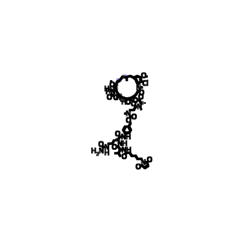 COc1cc2cc(c1Cl)N(C)C(=O)C[C@H](OC(=O)[C@H](C)N(C)C(=O)CCN(C)C(=O)OCc1ccc(NC(=O)[C@H](CCCNC(N)=O)NC(=O)[C@@H](NC(=O)CCCCCN3C(=O)C=CC3=O)C(C)C)cc1)[C@]1(C)O[C@H]1[C@H](C)[C@@H]1C[C@@](O)(NC(=O)O1)[C@H](OC)/C=C/C=C(\C)C2